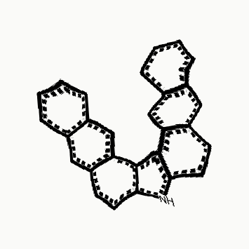 c1ccc2cc3c(ccc4[nH]c5ccc6cc7ccccc7cc6c5c43)cc2c1